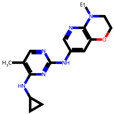 CCN1CCOc2cc(Nc3ncc(C)c(NC4CC4)n3)cnc21